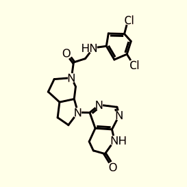 O=C1CCc2c(ncnc2N2CCC3CCN(C(=O)CNc4cc(Cl)cc(Cl)c4)CC32)N1